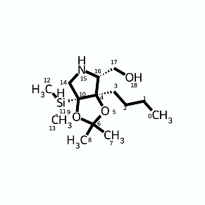 CCCC[C@]12OC(C)(C)O[C@@]1([SiH](C)C)CN[C@@H]2CO